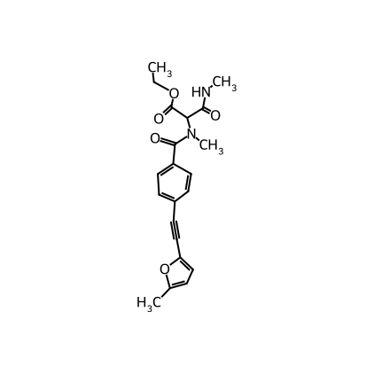 CCOC(=O)C(C(=O)NC)N(C)C(=O)c1ccc(C#Cc2ccc(C)o2)cc1